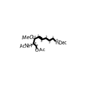 CCCCCCCCCCCCC/C=C/[C@@H](OC)[C@H](COC(C)=O)NC(C)=O